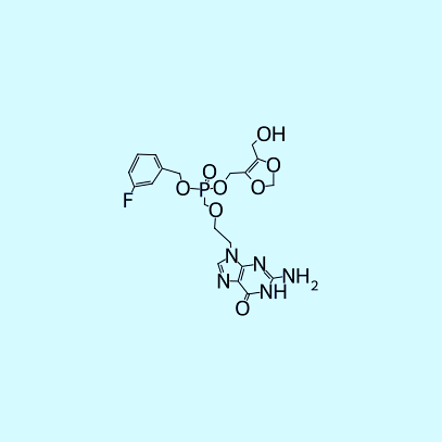 Nc1nc2c(ncn2CCOCP(=O)(OCC2=C(CO)OCO2)OCc2cccc(F)c2)c(=O)[nH]1